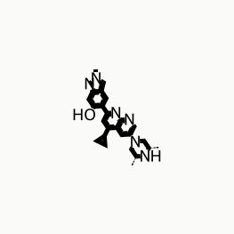 C[C@@H]1CN(c2cnc3nc(-c4cc5cn(C)nc5cc4O)cc(C4CC4)c3c2)C[C@H](C)N1